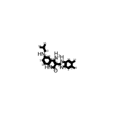 Cc1cc2nc(-c3c(N)c4cc(NCC(C)C)ccc4[nH]c3=O)[nH]c2cc1C